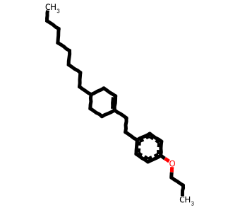 CCCCCCCCC1CC=C(CCc2ccc(OCCC)cc2)CC1